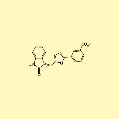 CN1C(=O)/C(=C/c2ccc(-c3cccc(C(=O)O)c3)o2)c2ccccc21